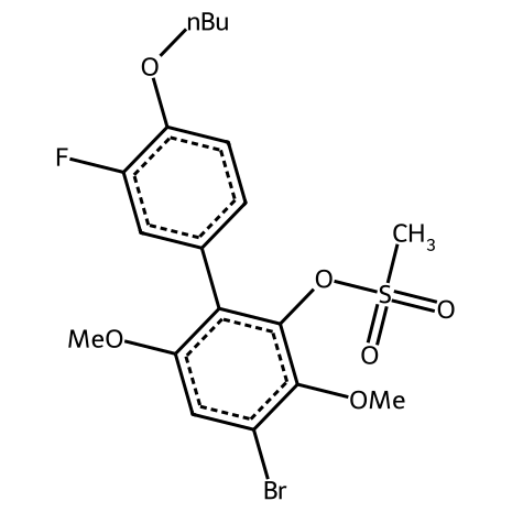 CCCCOc1ccc(-c2c(OC)cc(Br)c(OC)c2OS(C)(=O)=O)cc1F